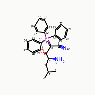 CC(C)C[C@H](N)C(=O)C(C#N)=P(c1ccccc1)(c1ccccc1)c1ccccc1